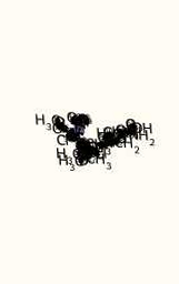 C=CCN(CC=C)C(=O)C(Cl)Cl.CCc1cccc(C)c1N(C(=O)CCl)C(C)COC.COC(=O)CSc1cc(/N=c2\sc(=O)n3n2CCCC3)c(F)cc1Cl.CP(=O)(O)CCC(N)C(=O)O